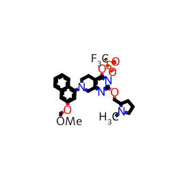 COCOc1cc(N2CCc3c(nc(OCC4CCCN4C)nc3OS(=O)(=O)C(F)(F)F)C2)c2ccccc2c1